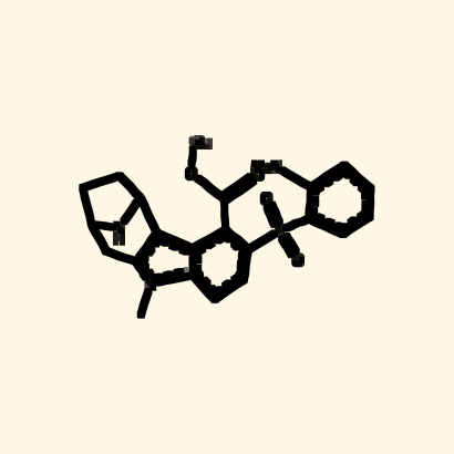 CNc1ccccc1S(=O)(=O)c1ccc2c(c1C(=O)OC(C)(C)C)c1c(n2C)CC2CCC1N2